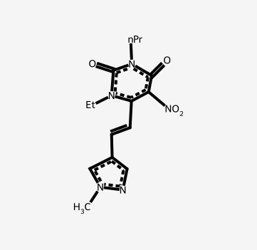 CCCn1c(=O)c([N+](=O)[O-])c(C=Cc2cnn(C)c2)n(CC)c1=O